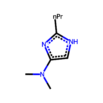 CCCc1nc(N(C)C)c[nH]1